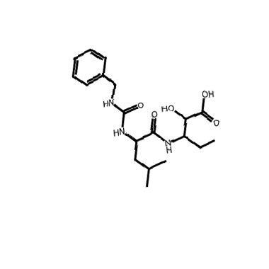 CCC(NC(=O)C(CC(C)C)NC(=O)NCc1ccccc1)C(O)C(=O)O